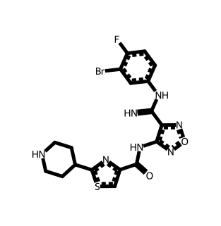 N=C(Nc1ccc(F)c(Br)c1)c1nonc1NC(=O)c1csc(C2CCNCC2)n1